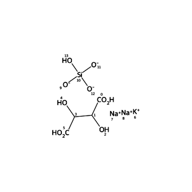 O=C(O)C(O)C(O)C(=O)O.[K+].[Na+].[Na+].[O-][Si]([O-])([O-])O